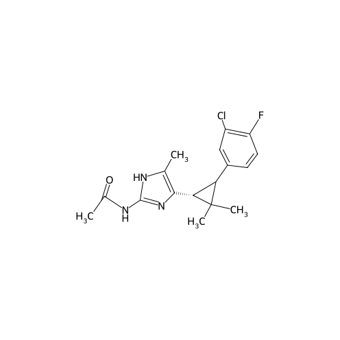 CC(=O)Nc1nc([C@@H]2C(c3ccc(F)c(Cl)c3)C2(C)C)c(C)[nH]1